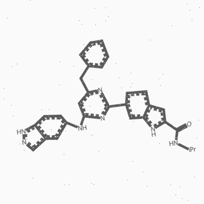 CC(C)NC(=O)c1cc2ccc(-c3nc(Cc4ccccc4)cc(Nc4ccc5[nH]ncc5c4)n3)cc2[nH]1